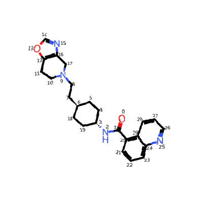 O=C(N[C@H]1CC[C@H](CCN2CCc3ocnc3C2)CC1)c1cccc2ncccc12